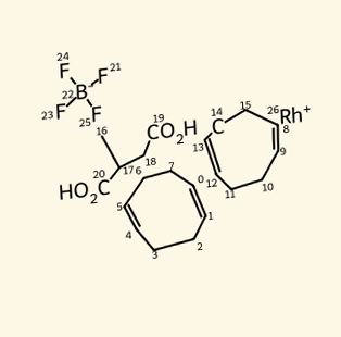 C1=C\CC/C=C\CC/1.C1=C\CC/C=C\CC/1.CC(CC(=O)O)C(=O)O.F[B-](F)(F)F.[Rh+]